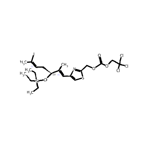 CC[Si](CC)(CC)O[C@@H](C/C=C(/C)I)/C(C)=C/c1csc(COC(=O)OCC(Cl)(Cl)Cl)n1